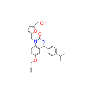 C#CCOc1ccc2c(c1)c(-c1ccc(C(C)C)cc1)nc(=O)n2Cc1ccc(CO)o1